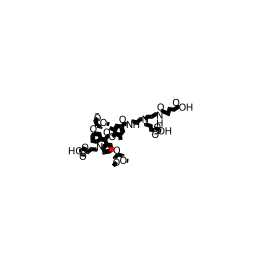 COCC(COC)Oc1ccc2c(c1)c(C(=O)Oc1c(C)cc(C(=O)NCCCN(CCCNC(=O)CCCC(=O)O)CCCS(=O)(=O)O)cc1C)c1cc(OC(COC)COC)ccc1[n+]2CCCS(=O)(=O)O